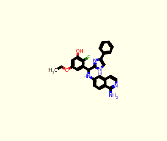 CCOc1cc(O)c(F)c(C(Nc2ccc3c(N)nccc3c2)c2nc(-c3ccccc3)c[nH]2)c1